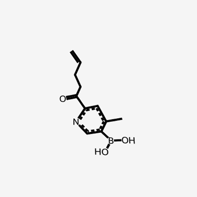 C=CCCC(=O)c1cc(C)c(B(O)O)cn1